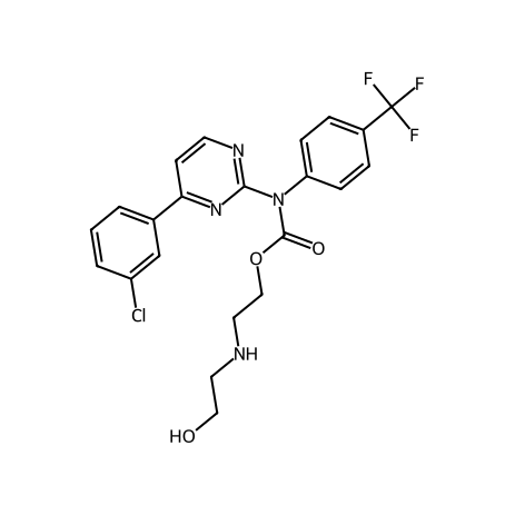 O=C(OCCNCCO)N(c1ccc(C(F)(F)F)cc1)c1nccc(-c2cccc(Cl)c2)n1